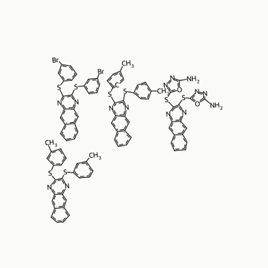 Brc1cccc(Sc2nc3cc4ccccc4cc3nc2Sc2cccc(Br)c2)c1.Cc1ccc(Sc2nc3cc4ccccc4cc3nc2Sc2ccc(C)cc2)cc1.Cc1cccc(Sc2nc3cc4ccccc4cc3nc2Sc2cccc(C)c2)c1.Nc1nnc(Sc2nc3cc4ccccc4cc3nc2Sc2nnc(N)o2)o1